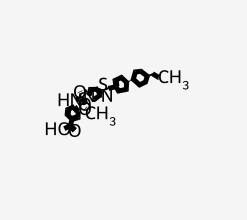 CCC[C@H]1CC[C@H](C2CC=C(c3nc4c(s3)CN(S(=O)(=O)Nc3ccc(C(=O)O)cc3OC)C4)CC2)CC1